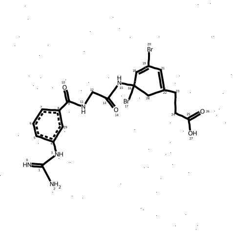 N=C(N)Nc1cccc(C(=O)NCC(=O)NC2(Br)C=C(Br)C=C(CCC(=O)O)C2)c1